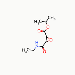 CCNC(=O)C1OC1C(=O)OC(C)C